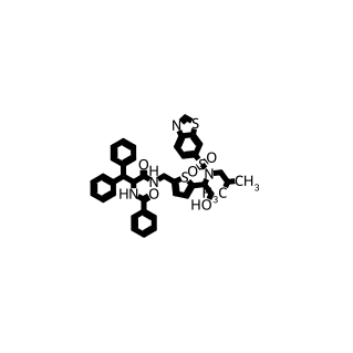 CC(C)CN(C(CO)c1ccc(CNC(=O)C(NC(=O)c2ccccc2)C(c2ccccc2)c2ccccc2)s1)S(=O)(=O)c1ccc2ncsc2c1